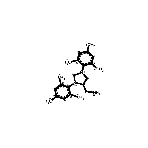 Cc1cc(C)c(N2CC(CN)N(c3c(C)cc(C)cc3C)C2)c(C)c1